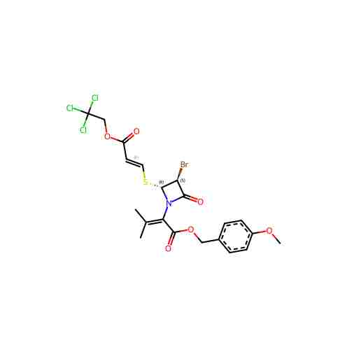 COc1ccc(COC(=O)C(=C(C)C)N2C(=O)[C@H](Br)[C@H]2S/C=C/C(=O)OCC(Cl)(Cl)Cl)cc1